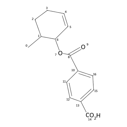 CC1CCC=CC1OC(=O)c1ccc(C(=O)O)cc1